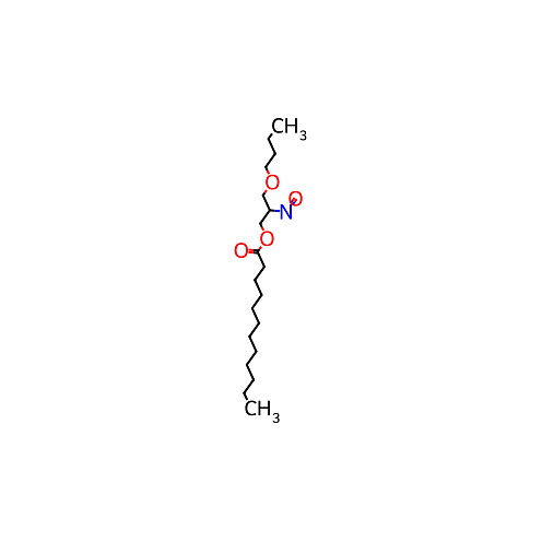 CCCCCCCCCCCC(=O)OCC(COCCCC)N=O